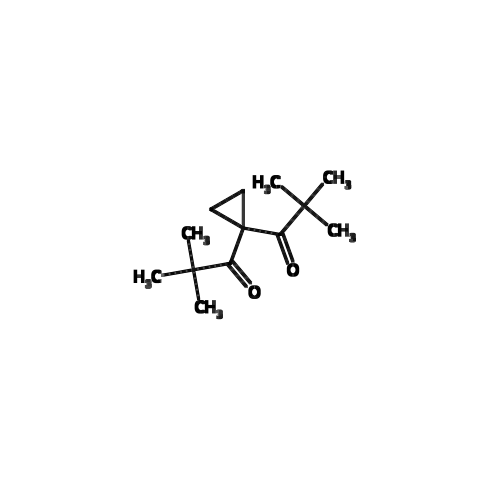 CC(C)(C)C(=O)C1(C(=O)C(C)(C)C)CC1